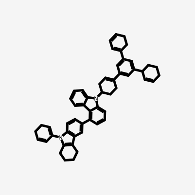 C1=CCCC(c2cc(C3=CCC(n4c5ccccc5c5c(-c6ccc7c(c6)c6c(n7C7=CCCC=C7)CCCC6)cccc54)CC3)cc(C3C=CCCC3)c2)=C1